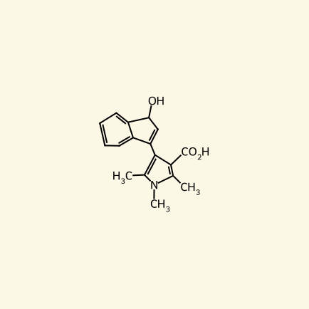 Cc1c(C(=O)O)c(C2=CC(O)c3ccccc32)c(C)n1C